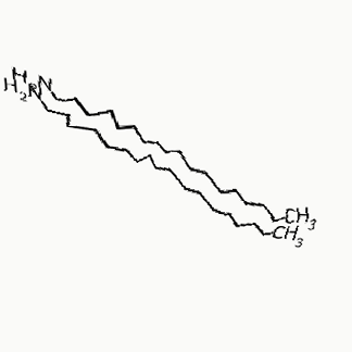 CCCCCCCCCCCCCCCCCCN.CCCCCCCCCCCCCCCCCCN